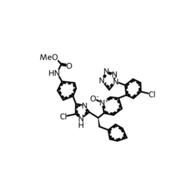 COC(=O)Nc1ccc(-c2nc([C@H](Cc3ccccc3)c3ccc(-c4cc(Cl)ccc4-n4cnnn4)c[n+]3[O-])[nH]c2Cl)cc1